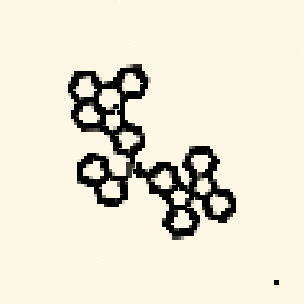 c1ccc2c(c1)-c1ccccc1C21c2ccccc2-c2cc(N(c3ccc4c(c3)c3ccc5cccc6c7ccccc7n4c3c56)c3cccc4ccccc34)ccc21